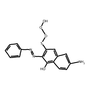 Nc1ccc2c(O)c(N=Nc3ccccc3)c(SOOO)cc2c1